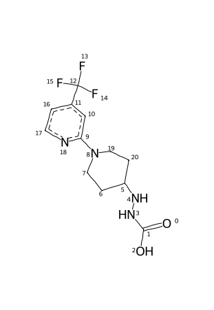 O=C(O)NNC1CCN(c2cc(C(F)(F)F)ccn2)CC1